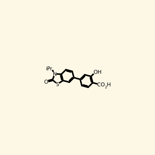 CC(C)n1c(=O)sc2cc(-c3ccc(C(=O)O)c(O)c3)ccc21